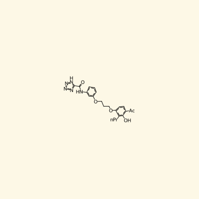 CCCc1c(OCCCOc2cccc(NC(=O)c3nnn[nH]3)c2)ccc(C(C)=O)c1O